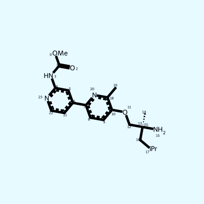 COC(=O)Nc1cc(-c2ccc(OC[C@@](C)(N)CC(C)C)c(C)n2)ccn1